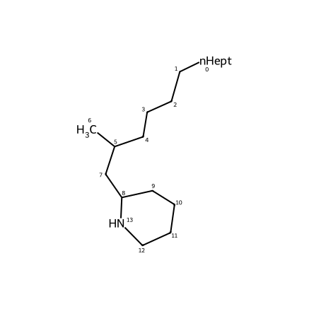 CCCCCCCCCCCC(C)CC1CCCCN1